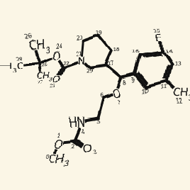 COC(=O)NCCOC(c1cc(C)cc(F)c1)C1CCCN(C(=O)OC(C)(C)C)C1